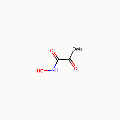 COC(=O)C(=O)NO